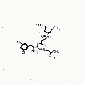 CCCN(CCC)S(=O)(=O)CCC(=O)O[C@H](CNCCC(C)C)[C@@H](N)Cc1cc(Cl)cc(Cl)c1